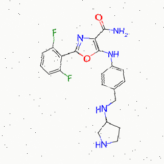 NC(=O)c1nc(-c2c(F)cccc2F)oc1Nc1ccc(CNC2CCNC2)cc1